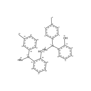 CCCCN(c1ccc(C)cc1)c1ccccc1O.CCCCN(c1cccc(C)c1)c1ccccc1O